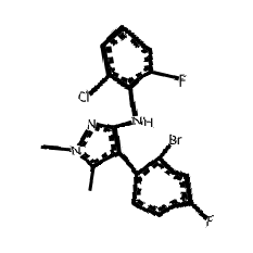 Cc1c(-c2ccc(F)cc2Br)c(Nc2c(F)cccc2Cl)nn1C